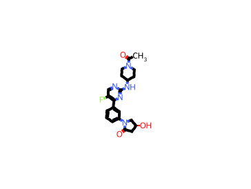 CC(=O)N1CCC(Nc2ncc(F)c(-c3cccc(N4C[C@@H](O)CC4=O)c3)n2)CC1